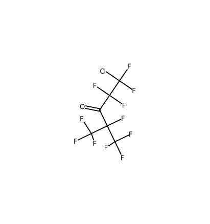 O=C(C(F)(F)C(F)(F)Cl)C(F)(C(F)(F)F)C(F)(F)F